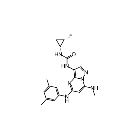 CNc1cc(Nc2cc(C)cc(C)c2)nc2c(NC(=O)N[C@@H]3C[C@@H]3F)cnn12